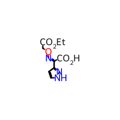 CCOC(=O)CON=C(C(=O)O)c1cc[nH]n1